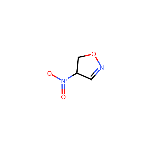 O=[N+]([O-])C1[C]=NOC1